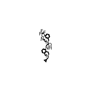 CN(C)CCN(Cc1cccc(OC(F)(F)F)c1)C(=O)CNc1cccc2c1CCN(CC1CC1)C2